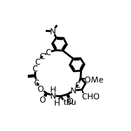 C=C1CCCCc2cc(N(C)C)ccc2-c2ccc(cc2)[C@]2(OC)C[C@@H](C=O)N(C2)C(=O)[C@H](C(C)(C)C)NC(=O)OC1